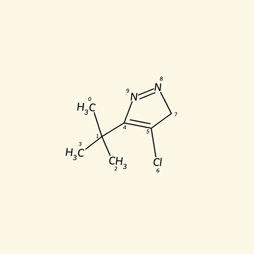 CC(C)(C)C1=C(Cl)CN=N1